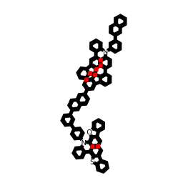 CC1(C)c2ccc(-c3ccc4cc(-c5cccc(-c6ccc(N(c7ccccc7-c7cccc8c7sc7ccccc78)c7cccc8c7oc7ccccc78)cc6)c5)ccc4c3)cc2-c2cccc(-c3ccc(N(c4cccc(-c5ccc6ccccc6c5)c4)c4ccccc4-c4ccc5c(c4)C4C=CC=CC4O5)cc3)c21